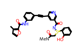 CNC(=O)CS(=NC(=O)c1cncc(C#Cc2cccc(NC(=O)c3occc3C)c2)c1)c1ccccc1O